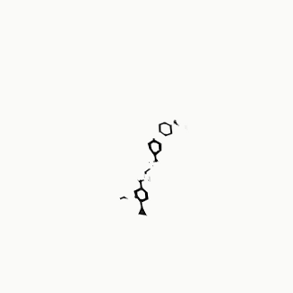 CCOc1cc(C(=O)NCCNC(=O)c2ccc(O[C@H]3CC[C@@H](C(=O)O)CC3)cc2)ccc1C1CC1